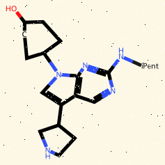 CCCC(C)Nc1ncc2c(C3CCNC3)cn(C3CCC(O)CC3)c2n1